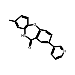 Cc1ccc2c(c1)NC(=O)c1cc(-c3cccnc3)ccc1O2